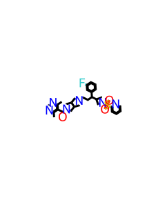 Cc1ncnc(C)c1C(=O)N1CC2CN(CCC(c3cccc(F)c3)C3CN(S(=O)(=O)c4ccccn4)C3)CC2C1